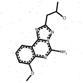 COc1cccc2c1nc(N)n1nc(CC(C)Cl)nc21